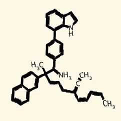 C=C=C(/C=C\C=C/C)CC=CC(C)(c1ccc2ccccc2c1)C(N)c1ccc(-c2cccc3cc[nH]c23)cc1